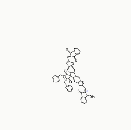 O=C(OCc1ccccc1)C1(C(=O)OCc2ccccc2)c2cc3cc(C=C4C(=S)c5ccccc5C4=S)sc3cc2-c2cc3sc(/C=C4\C(=S)c5ccccc5C4S)cc3cc21